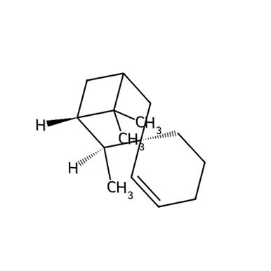 C[C@H]1[C@@H]2CC(C[C@@]13C=CCCC3)C2(C)C